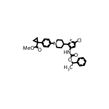 COC(=O)C1(c2ccc(N3CCC(c4sc(Cl)cc4NC(=O)O[C@H](C)c4ccccc4)CC3)cc2)CC1